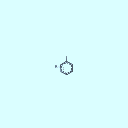 Ic1ccccc1.[BaH2]